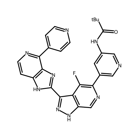 CC(C)(C)C(=O)Nc1cncc(-c2ncc3[nH]nc(-c4nc5c(-c6ccncc6)nccc5[nH]4)c3c2F)c1